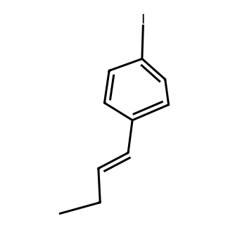 CC/C=C/c1ccc(I)cc1